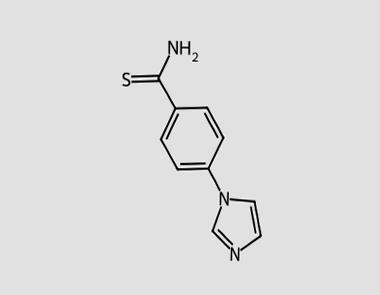 NC(=S)c1ccc(-n2ccnc2)cc1